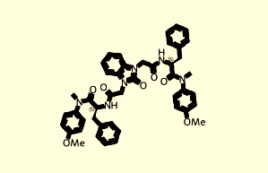 COc1ccc(N(C)C(=O)[C@H](Cc2ccccc2)NC(=O)Cn2c(=O)n(CC(=O)N[C@@H](Cc3ccccc3)C(=O)N(C)c3ccc(OC)cc3)c3ccccc32)cc1